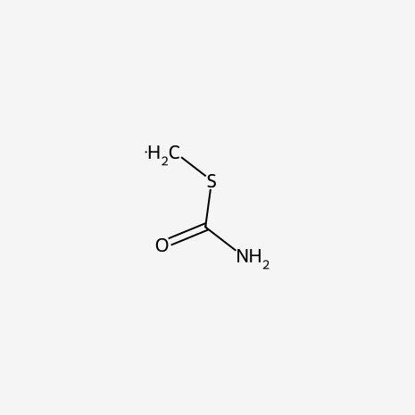 [CH2]SC(N)=O